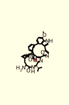 COc1ccc2c3c(c[nH]c13)-c1cnc(o1)-c1nc3oc1C14c5cc(ccc5O[C@@H]1Nc1c-2cccc14)CC(N)C(=O)N[C@H]3C(C)C